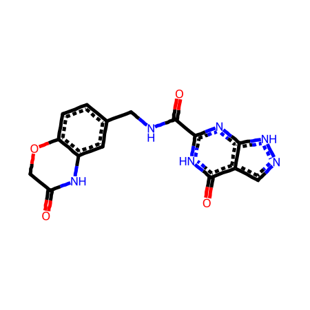 O=C1COc2ccc(CNC(=O)c3nc4[nH]ncc4c(=O)[nH]3)cc2N1